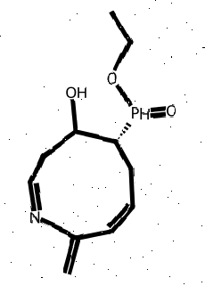 C=C1/C=C\C[C@@H]([PH](=O)OCC)C(O)C/C=N\1